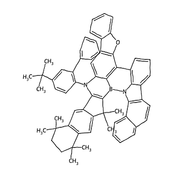 CC(C)(C)c1ccc(N2C3=C(B4c5c2cc2c(oc6ccccc62)c5-c2cccc5c6ccc7ccccc7c6n4c25)C(C)(C)c2cc4c(cc23)C(C)(C)CCC4(C)C)c(-c2ccccc2)c1